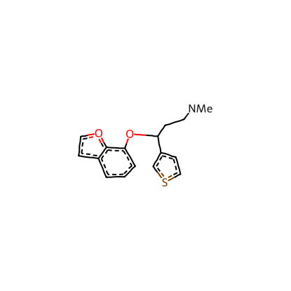 CNCCC(Oc1cccc2ccoc12)c1ccsc1